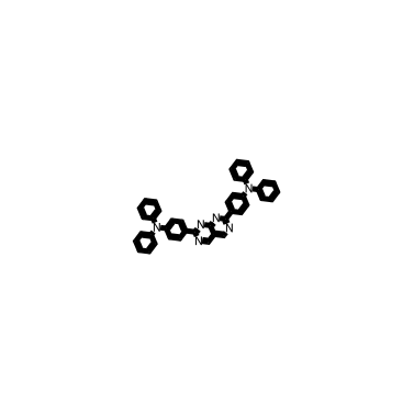 c1ccc(N(c2ccccc2)c2ccc(-c3ncc4cnc(-c5ccc(N(c6ccccc6)c6ccccc6)cc5)nc4n3)cc2)cc1